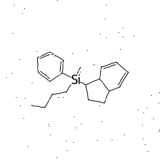 CCCC[Si](C)(c1ccccc1)C1CCC2C=CC=CC21